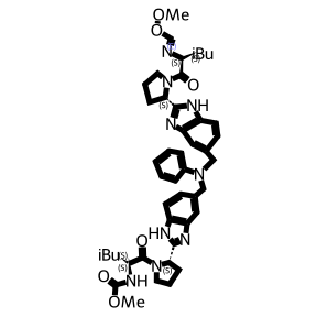 CC[C@H](C)[C@H](/N=C/OOC)C(=O)N1CCC[C@H]1c1nc2cc(CN(Cc3ccc4[nH]c([C@@H]5CCCN5C(=O)[C@@H](NC(=O)OC)[C@@H](C)CC)nc4c3)c3ccccc3)ccc2[nH]1